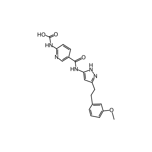 COc1cccc(CCc2cc(NC(=O)c3ccc(NC(=O)O)nc3)[nH]n2)c1